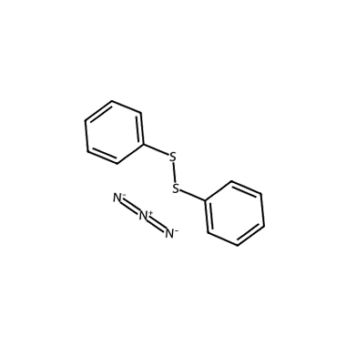 [N-]=[N+]=[N-].c1ccc(SSc2ccccc2)cc1